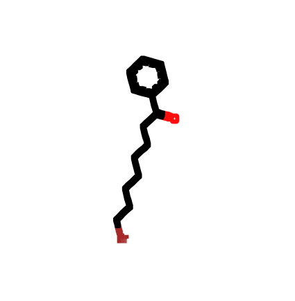 O=C(CCCCCCCBr)c1ccccc1